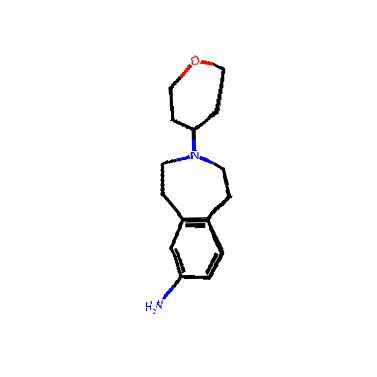 Nc1ccc2c(c1)CCN(C1CCOCC1)CC2